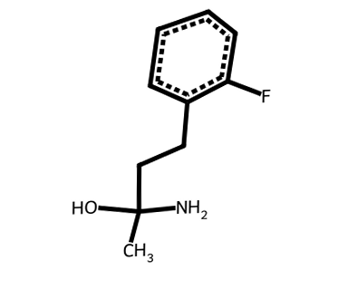 CC(N)(O)CCc1ccccc1F